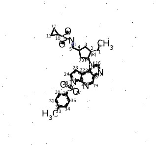 CC[C@@H]1CC(/C=N/S(=O)(=O)C2CC2)C[C@@H]1n1cnc2cnc3c(ccn3S(=O)(=O)c3ccc(C)cc3)c21